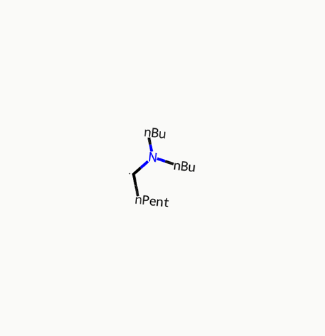 CCCCC[CH]N(CCCC)CCCC